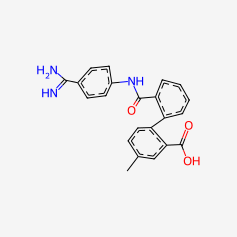 Cc1ccc(-c2ccccc2C(=O)Nc2ccc(C(=N)N)cc2)c(C(=O)O)c1